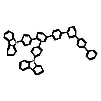 c1ccc(-c2ccc(-c3cccc(-c4ccc(-c5ccc(-c6ccc(-n7c8ccccc8c8ccccc87)cc6)c(-c6ccc(-n7c8ccccc8c8ccccc87)cc6)c5)cc4)c3)cc2)cc1